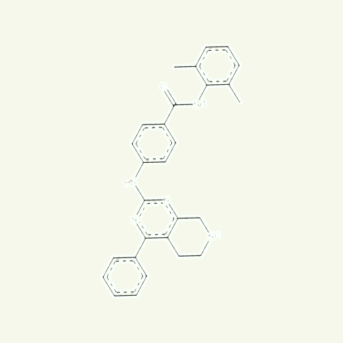 Cc1cccc(C)c1NC(=O)c1ccc(Nc2nc3c(c(-c4ccccc4)n2)CCNC3)cc1